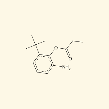 CCC(=O)Oc1c(N)cccc1C(C)(C)C